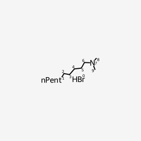 Br.CCCCCCCCCCN(C)C